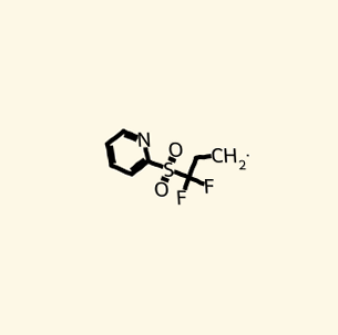 [CH2]CC(F)(F)S(=O)(=O)c1ccccn1